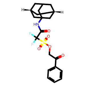 O=C(COS(=O)(=O)C(F)(F)C(=O)NC12CC3C[C@H](C1)C[C@@H](C3)C2)c1ccccc1